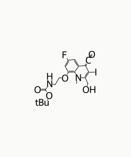 CN1C(CO)=C(I)C(=C=O)c2cc(F)cc(OCCNC(=O)OC(C)(C)C)c21